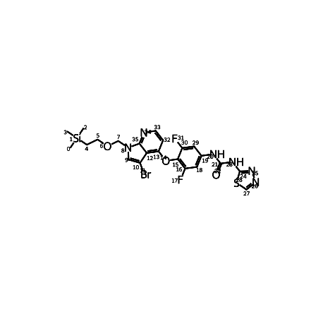 C[Si](C)(C)CCOCn1cc(Br)c2c(Oc3c(F)cc(NC(=O)Nc4nncs4)cc3F)ccnc21